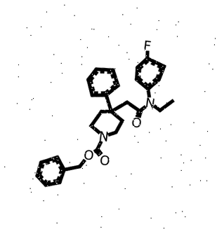 CCN(C(=O)CC1(c2ccccc2)CCN(C(=O)OCc2ccccc2)CC1)c1ccc(F)cc1